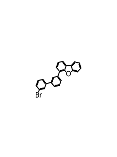 Brc1cccc(-c2cccc(-c3cccc4c3oc3ccccc34)c2)c1